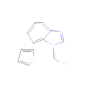 COCn1cnc2ccccc21.c1ccoc1